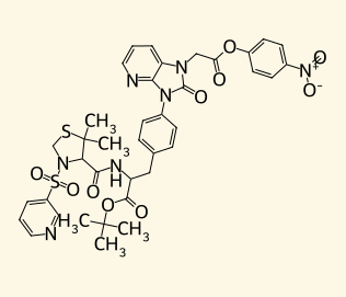 CC(C)(C)OC(=O)C(Cc1ccc(-n2c(=O)n(CC(=O)Oc3ccc([N+](=O)[O-])cc3)c3cccnc32)cc1)NC(=O)C1N(S(=O)(=O)c2cccnc2)CSC1(C)C